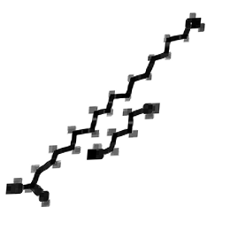 CCCCCCCCCCCCCCCCCC(=O)O.OCCCCO